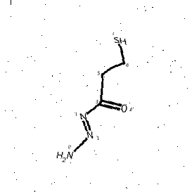 NN=NC(=O)CCS